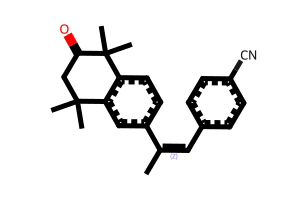 C/C(=C/c1ccc(C#N)cc1)c1ccc2c(c1)C(C)(C)CC(=O)C2(C)C